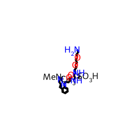 CNN(C)Cc1cc2ccccc2n1CCC(=O)N[C@@H](CS(=O)(=O)O)C(=O)NCCOCCOCCN